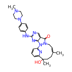 C/C1=C/Cn2c(=O)c3cnc(Nc4ccc(N5CCN(C)CC5)cc4)nc3n2-c2cccc(n2)C(C)(O)CC1